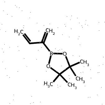 C=CC(=C)B1OC(C)(C)C(C)(C)O1